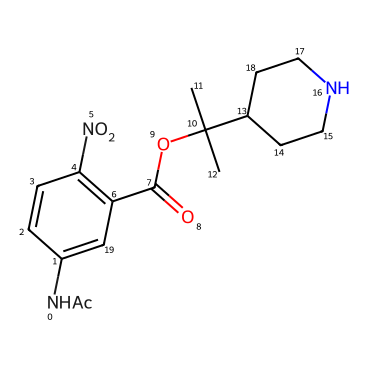 CC(=O)Nc1ccc([N+](=O)[O-])c(C(=O)OC(C)(C)C2CCNCC2)c1